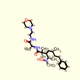 CC(C)[C@](C)(C(=O)N[C@H](C(=O)NCCN1CCOCC1)C(C)(C)C)C(C[C@@H](C)CCc1ccccc1)[C@@H](C)N(O)C=O